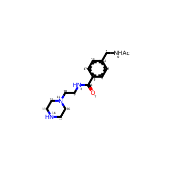 CC(=O)NCc1ccc(C(=O)NCCN2CCNCC2)cc1